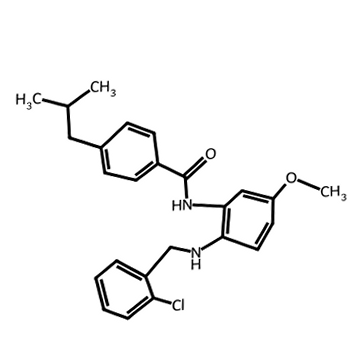 COc1ccc(NCc2ccccc2Cl)c(NC(=O)c2ccc(CC(C)C)cc2)c1